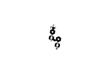 CN1CCN(c2ccccc2C=C2CN(c3ccc(C(F)(F)F)cc3)CCS2)CC1